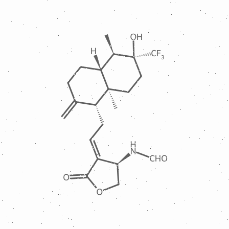 C=C1CC[C@@H]2[C@@H](C)[C@](O)(C(F)(F)F)CC[C@@]2(C)[C@@H]1C/C=C1/C(=O)OC[C@@H]1NC=O